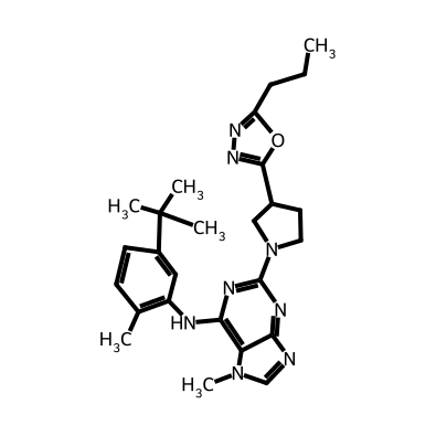 CCCc1nnc(C2CCN(c3nc(Nc4cc(C(C)(C)C)ccc4C)c4c(ncn4C)n3)C2)o1